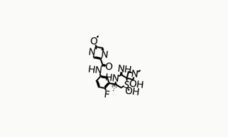 COc1cnc(C(=O)Nc2ccc(F)c([C@]3(C)CS(O)(O)C4(CN(C)C4)C(=N)N3)c2)cn1